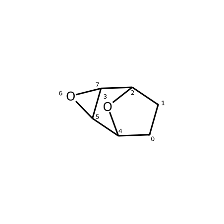 C1CC2OC1C1OC21